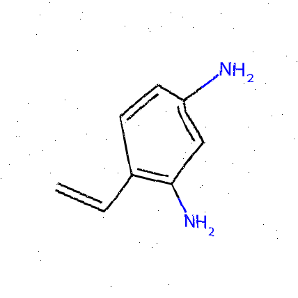 C=Cc1ccc(N)cc1N